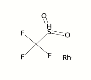 O=[SH](=O)C(F)(F)F.[Rh]